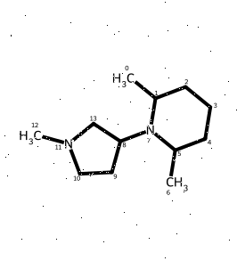 CC1CCCC(C)N1C1CCN(C)C1